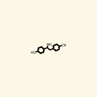 N#Cc1ccc(CC(N)c2ccc(O)cc2)cc1